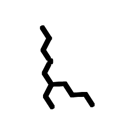 C[CH]COCC(CC)CCCC